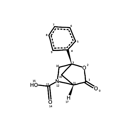 O=C1O[C@]2(c3ccccc3)C[C@H]1N(C(=O)O)C2